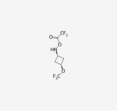 O=C(ON[C@H]1C[C@@H](OC(F)(F)F)C1)C(F)(F)F